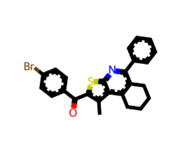 Cc1c(C(=O)c2ccc(Br)cc2)sc2nc(-c3ccccc3)c3c(c12)CCCC3